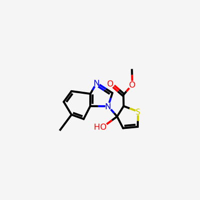 COC(=O)C1SC=CC1(O)n1cnc2ccc(C)cc21